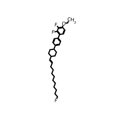 CCOc1ccc(-c2ccc(C3CCC(/C=C/CCCCCCCCCCF)CC3)cc2)c(F)c1F